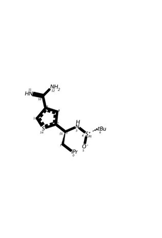 CC(C)C[C@H](N[S@@+]([O-])C(C)(C)C)c1cc(C(=N)N)cs1